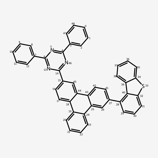 c1ccc(-c2nc(-c3ccccc3)nc(-c3ccc4c5ccccc5c5cc(-c6cccc7sc8ccccc8c67)ccc5c4c3)n2)cc1